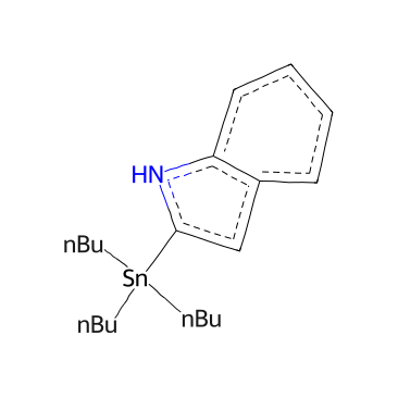 CCC[CH2][Sn]([CH2]CCC)([CH2]CCC)[c]1cc2ccccc2[nH]1